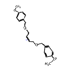 COc1ccc(COC/C=C\COCc2ccc(OC)cc2)cc1